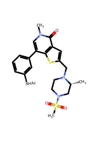 CC(=O)Nc1cccc(-c2cn(C)c(=O)c3cc(CN4CCN(S(C)(=O)=O)C[C@H]4C)sc23)c1